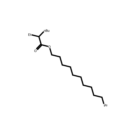 CCCCC(CC)C(=O)OCCCCCCCCCCC(C)C